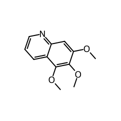 COc1cc2ncccc2c(OC)c1OC